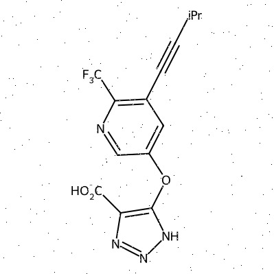 CC(C)C#Cc1cc(Oc2[nH]nnc2C(=O)O)cnc1C(F)(F)F